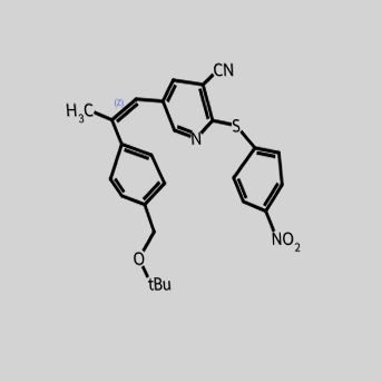 C/C(=C/c1cnc(Sc2ccc([N+](=O)[O-])cc2)c(C#N)c1)c1ccc(COC(C)(C)C)cc1